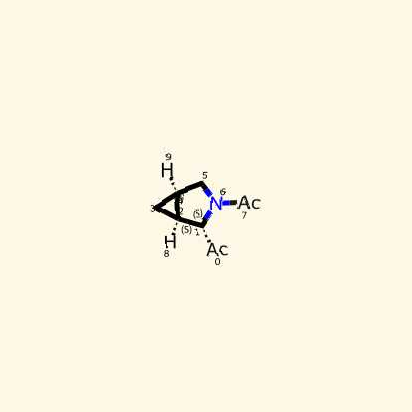 CC(=O)[C@@H]1[C@H]2C[C@H]2CN1C(C)=O